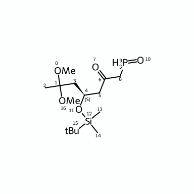 COC(C)(C[C@@H](CC(=O)C[PH2]=O)O[Si](C)(C)C(C)(C)C)OC